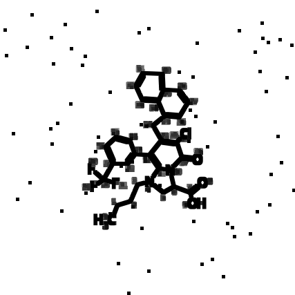 CCCCN1CC(C(=O)O)n2c1c(-c1cccc(C(F)(F)F)c1)c(Cc1cccc3ccccc13)c(Cl)c2=O